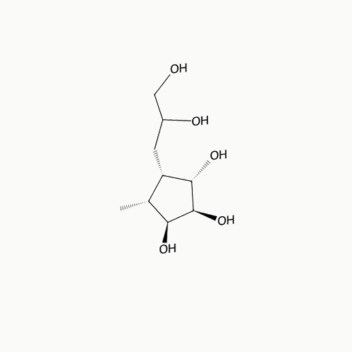 C[C@H]1[C@H](O)[C@H](O)[C@@H](O)[C@H]1CC(O)CO